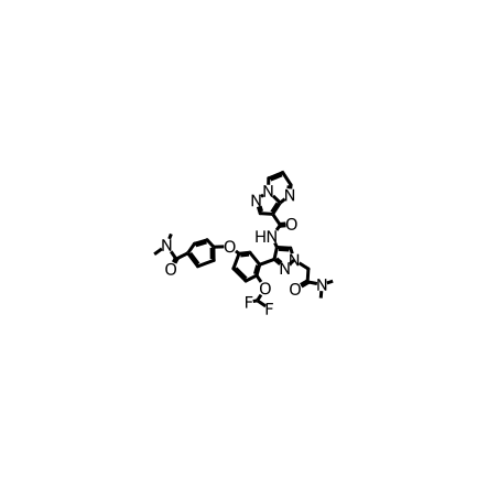 CN(C)C(=O)Cn1cc(NC(=O)c2cnn3cccnc23)c(-c2cc(Oc3ccc(C(=O)N(C)C)cc3)ccc2OC(F)F)n1